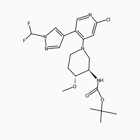 CO[C@@H]1CCN(c2cc(Cl)ncc2-c2cnn(C(F)F)c2)C[C@H]1NC(=O)OC(C)(C)C